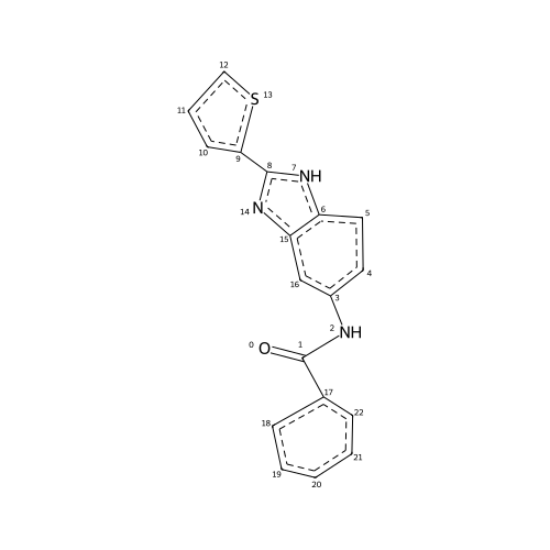 O=C(Nc1ccc2[nH]c(-c3cccs3)nc2c1)c1ccccc1